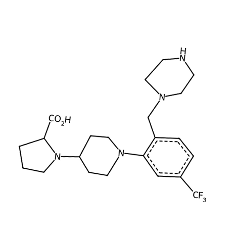 O=C(O)C1CCCN1C1CCN(c2cc(C(F)(F)F)ccc2CN2CCNCC2)CC1